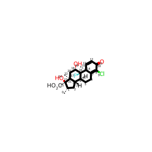 C[C@H]1C[C@H]2[C@@H]3CCC4=C(Cl)C(=O)C=C[C@]4(C)[C@@]3(F)[C@@H](O)C[C@]2(C)[C@@]1(O)C(=O)O